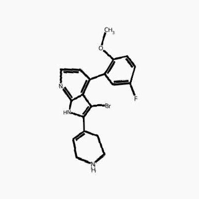 COc1ccc(F)cc1-c1ccnc2[nH]c(C3=CCNCC3)c(Br)c12